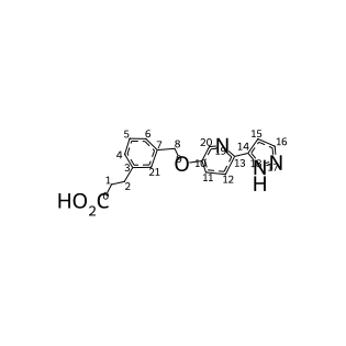 O=C(O)CCc1cccc(COc2ccc(-c3ccn[nH]3)nc2)c1